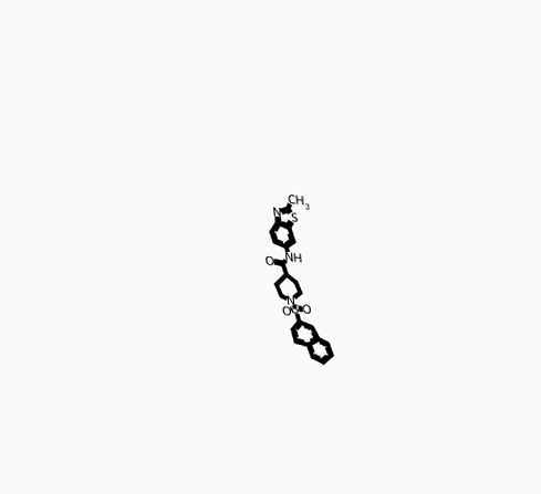 Cc1nc2ccc(NC(=O)C3CCN(S(=O)(=O)c4ccc5ccccc5c4)CC3)cc2s1